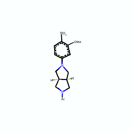 COc1cc(N2C[C@H]3CN(C(C)=O)C[C@H]3C2)ccc1[N+](=O)[O-]